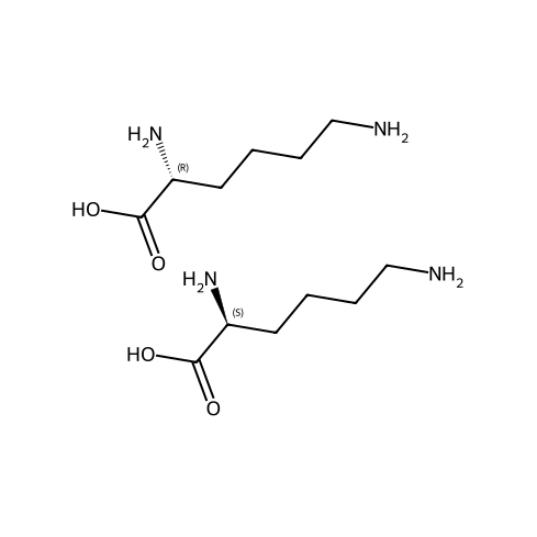 NCCCC[C@@H](N)C(=O)O.NCCCC[C@H](N)C(=O)O